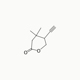 C#CC1COC(=O)CC1(C)C